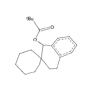 CC(C)(C)C(=O)OC1c2ccccc2CCC12CCCCC2